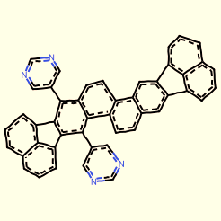 c1cc2c3c(cccc3c1)-c1cc3c(ccc4c3ccc3c(-c5cncnc5)c5c(c(-c6cncnc6)c34)-c3cccc4cccc-5c34)cc1-2